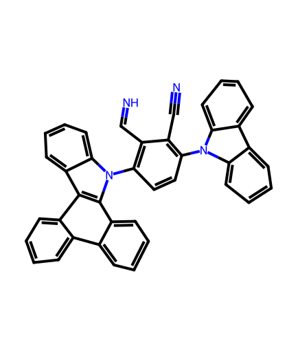 N#Cc1c(-n2c3ccccc3c3ccccc32)ccc(-n2c3ccccc3c3c4ccccc4c4ccccc4c32)c1C=N